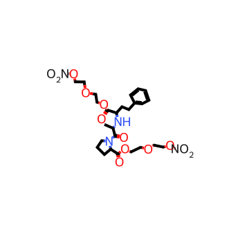 CC(NC(CCc1ccccc1)C(=O)OCCOCCO[N+](=O)[O-])C(=O)N1CCCC1C(=O)OCCOCCO[N+](=O)[O-]